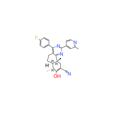 Cc1cc(-c2nc(-c3ccc(F)cc3)c3c(n2)[C@]2(C)CC(C#N)=C(O)[C@H](C)[C@H]2CC3)ccn1